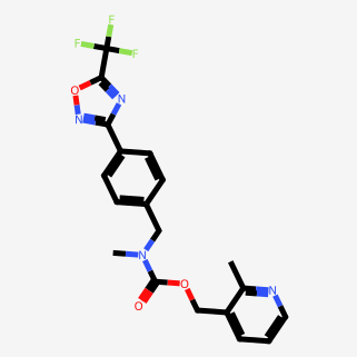 Cc1ncccc1COC(=O)N(C)Cc1ccc(-c2noc(C(F)(F)F)n2)cc1